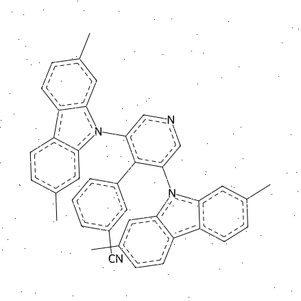 Cc1ccc2c3ccc(C)cc3n(-c3cncc(-n4c5cc(C)ccc5c5ccc(C)cc54)c3-c3cccc(C#N)c3)c2c1